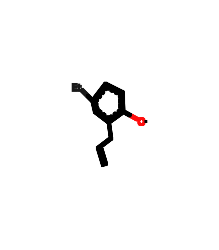 C=CCc1cc(CC)ccc1[O]